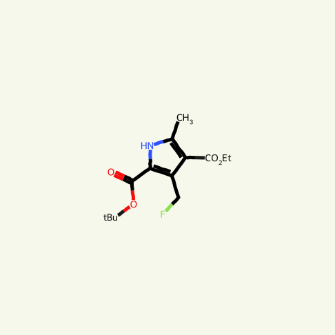 CCOC(=O)c1c(C)[nH]c(C(=O)OC(C)(C)C)c1CF